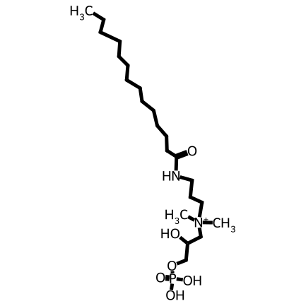 CCCCCCCCCCCCCC(=O)NCCC[N+](C)(C)CC(O)COP(=O)(O)O